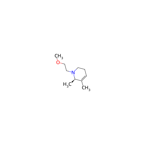 COCCN1CCC=C(C)[C@H]1C